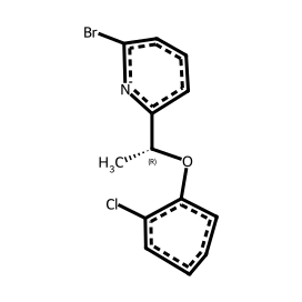 C[C@@H](Oc1ccccc1Cl)c1cccc(Br)n1